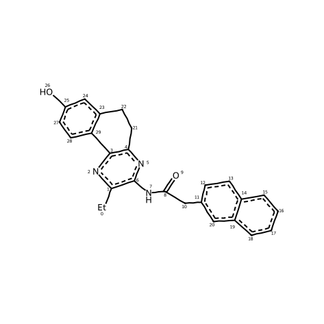 CCc1nc2c(nc1NC(=O)Cc1ccc3ccccc3c1)CCc1cc(O)ccc1-2